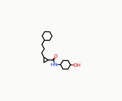 O=C(NC1CCC(O)CC1)C1CC1CCCC1CCCCC1